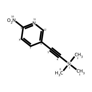 C[Si](C)(C)C#Cc1ccc([N+](=O)[O-])nc1